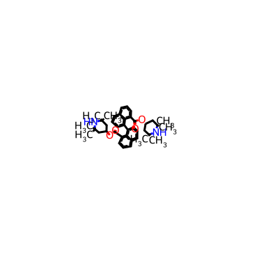 CC1(C)CC(OC(=O)c2cccc3cccc(-c4cccc5cccc(C(=O)OC6CC(C)(C)NC(C)(C)C6)c45)c23)CC(C)(C)N1